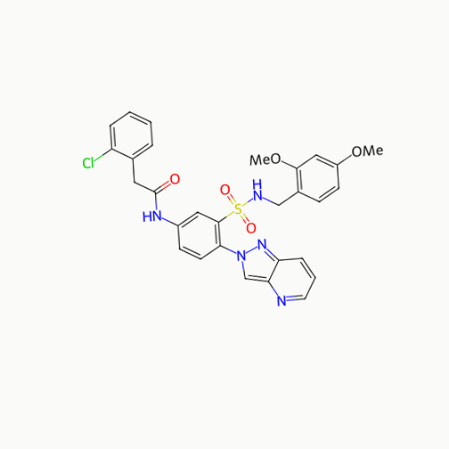 COc1ccc(CNS(=O)(=O)c2cc(NC(=O)Cc3ccccc3Cl)ccc2-n2cc3ncccc3n2)c(OC)c1